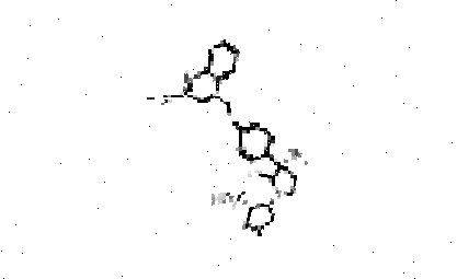 Cc1cc(COc2ccc([C@@]3(N)CCN([C@@H]4CCC[C@@H]4C(=O)O)C3=O)cc2)c2ccccc2n1